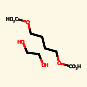 O=C(O)OCCCCOC(=O)O.OCCO